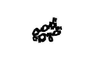 CCc1nc(Nc2cc(C(=O)Nc3ccccc3)ccn2)nc(N2CCN(c3cccc(C(F)(F)F)c3)CC2)n1